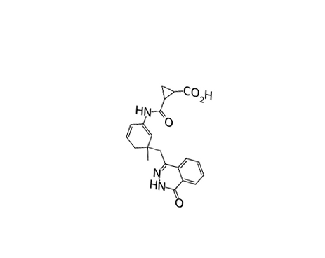 CC1(Cc2n[nH]c(=O)c3ccccc23)C=C(NC(=O)C2CC2C(=O)O)C=CC1